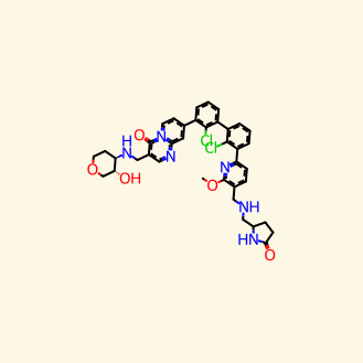 COc1nc(-c2cccc(-c3cccc(-c4ccn5c(=O)c(CN[C@@H]6CCOC[C@H]6O)cnc5c4)c3Cl)c2Cl)ccc1CNCC1CCC(=O)N1